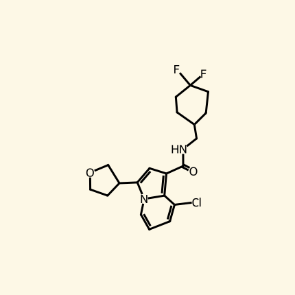 O=C(NCC1CCC(F)(F)CC1)c1cc(C2CCOC2)n2cccc(Cl)c12